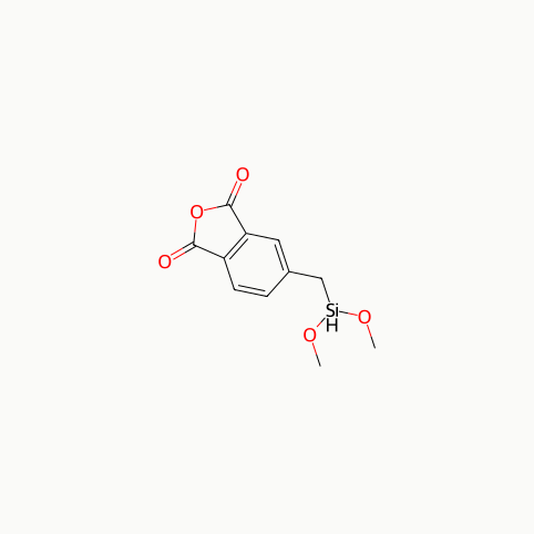 CO[SiH](Cc1ccc2c(c1)C(=O)OC2=O)OC